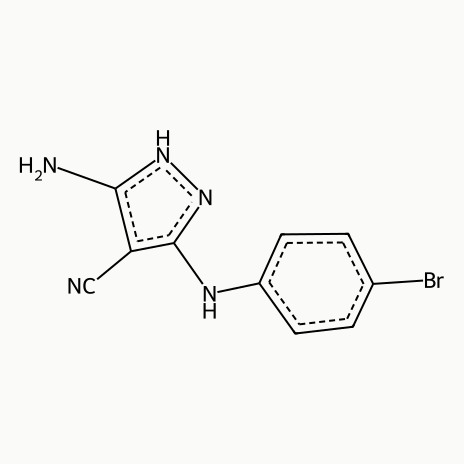 N#Cc1c(Nc2ccc(Br)cc2)n[nH]c1N